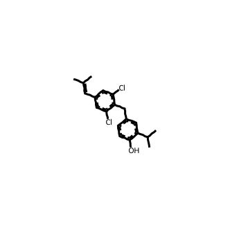 CC(C)=Cc1cc(Cl)c(Cc2ccc(O)c(C(C)C)c2)c(Cl)c1